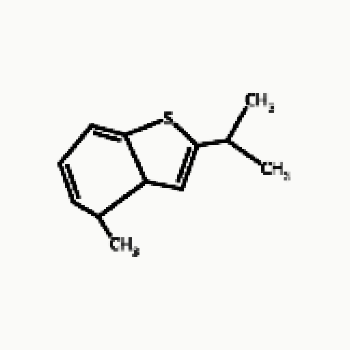 CC(C)C1=CC2C(=CC=CC2C)S1